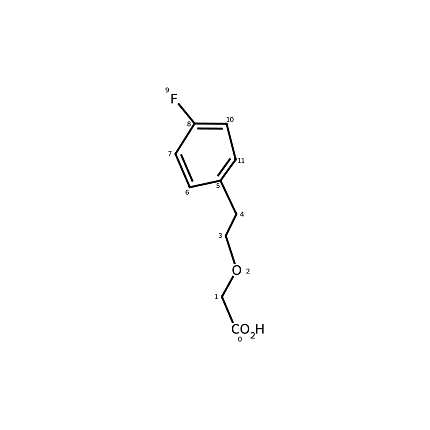 O=C(O)COCCc1ccc(F)cc1